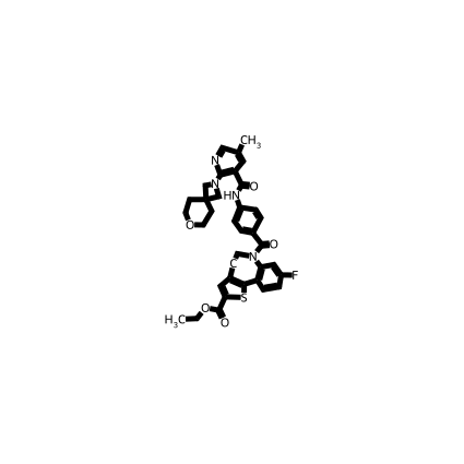 CCOC(=O)c1cc2c(s1)-c1ccc(F)cc1N(C(=O)c1ccc(NC(=O)c3cc(C)cnc3N3CC4(CCOCC4)C3)cc1)CC2